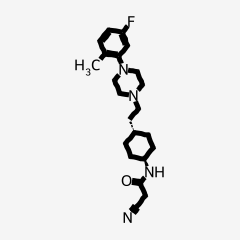 Cc1ccc(F)cc1N1CCN(CC[C@H]2CC[C@H](NC(=O)CC#N)CC2)CC1